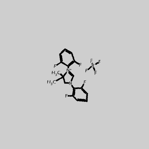 CC1(C)CN(c2c(F)cccc2F)C=[N+]1c1c(F)cccc1F.F[B-](F)(F)F